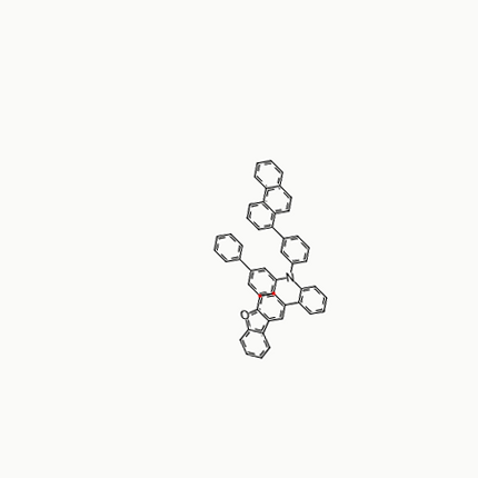 c1ccc(-c2cccc(N(c3cccc(-c4cccc5c4ccc4ccccc45)c3)c3ccccc3-c3ccc4oc5ccccc5c4c3)c2)cc1